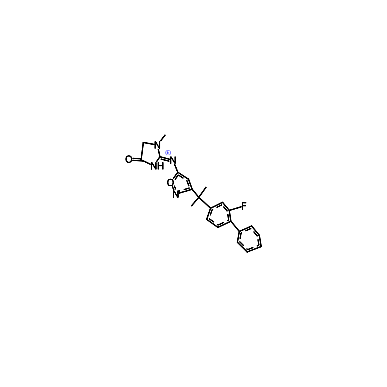 CN1CC(=O)N/C1=N\c1cc(C(C)(C)c2ccc(-c3ccccc3)c(F)c2)no1